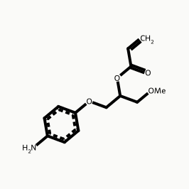 C=CC(=O)OC(COC)COc1ccc(N)cc1